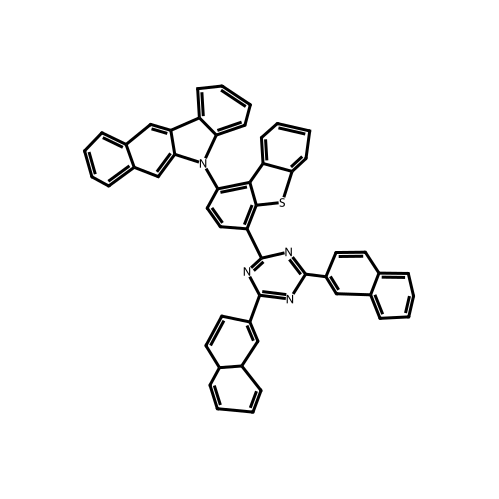 C1=CC2C=CC(c3nc(-c4ccc5ccccc5c4)nc(-c4ccc(-n5c6ccccc6c6cc7ccccc7cc65)c5c4sc4ccccc45)n3)=CC2C=C1